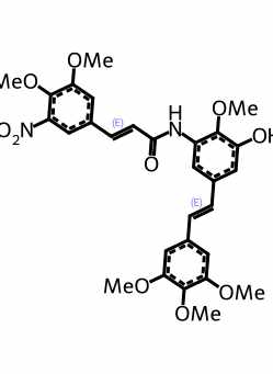 COc1cc(/C=C/c2cc(O)c(OC)c(NC(=O)/C=C/c3cc(OC)c(OC)c([N+](=O)[O-])c3)c2)cc(OC)c1OC